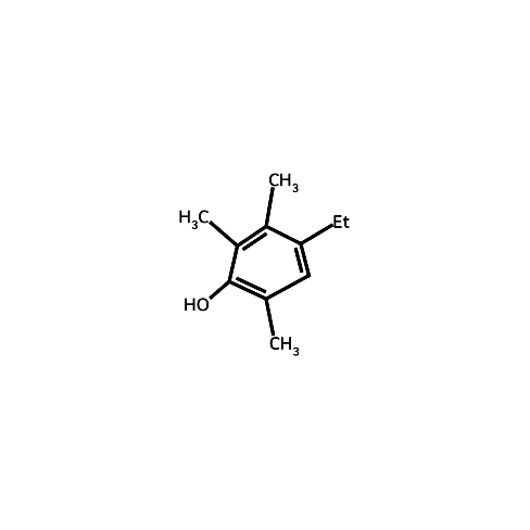 CCc1cc(C)c(O)c(C)c1C